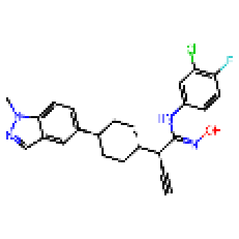 C#C[C@H](/C(=N/O)Nc1ccc(F)c(Cl)c1)[C@H]1CC[C@H](c2ccc3c(cnn3C)c2)CC1